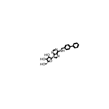 OC[C@H]1OC(n2cnc3c(NCc4ccc(-c5ccccc5)cc4)ncnc32)[C@H](O)[C@@H]1O